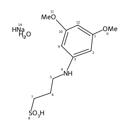 COc1cc(NCCCS(=O)(=O)O)cc(OC)c1.O.[NaH]